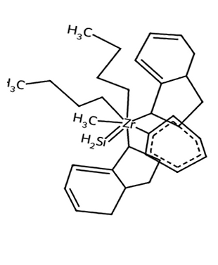 CCC[CH2][Zr]([CH3])(=[SiH2])([CH2]CCC)([c]1ccccc1)([CH]1CCC2CC=CC=C21)[CH]1CCC2CC=CC=C21